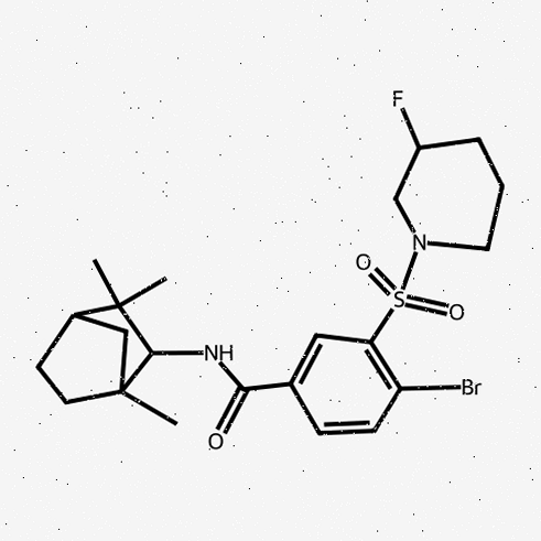 CC12CCC(C1)C(C)(C)C2NC(=O)c1ccc(Br)c(S(=O)(=O)N2CCCC(F)C2)c1